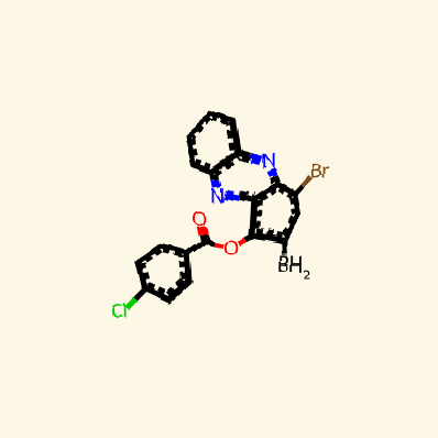 Bc1cc(Br)c2nc3ccccc3nc2c1OC(=O)c1ccc(Cl)cc1